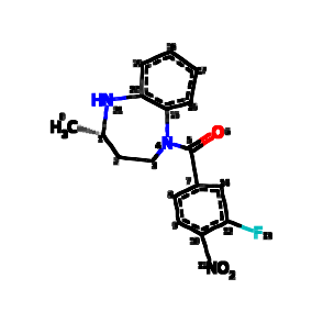 C[C@H]1CCN(C(=O)c2ccc([N+](=O)[O-])c(F)c2)c2ccccc2N1